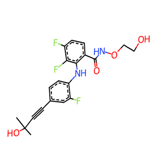 CC(C)(O)C#Cc1ccc(Nc2c(C(=O)NOCCO)ccc(F)c2F)c(F)c1